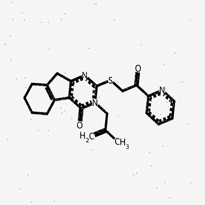 C=C(C)Cn1c(SCC(=O)c2ccccn2)nc2c(c1=O)C1=C(CCCC1)C2